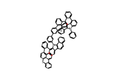 c1ccc(-n2c3cccc(-c4ccccc4-c4ccc5c6c(cccc46)-c4ccc(-c6cccc(-n7c8c(-c9ccccc9-c9ccc%10c%11c(cccc9%11)-c9ccccc9S%10)cccc8c8ccc9ccccc9c87)c6)cc4S5)c3c3ccc4ccccc4c32)cc1